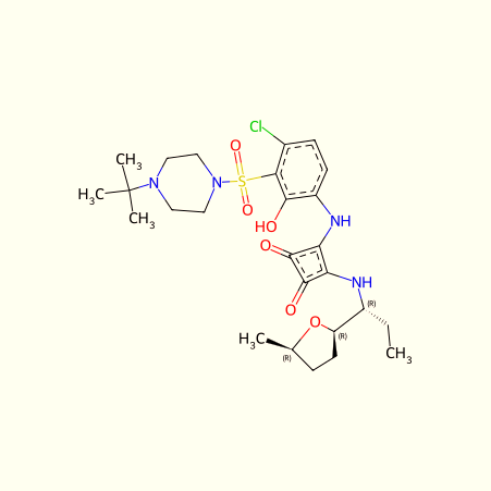 CC[C@@H](Nc1c(Nc2ccc(Cl)c(S(=O)(=O)N3CCN(C(C)(C)C)CC3)c2O)c(=O)c1=O)[C@H]1CC[C@@H](C)O1